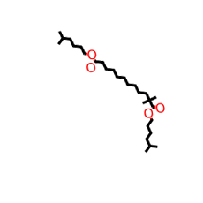 CC(C)CCCCOC(=O)CCCCCCCCCC(C)(C)C(=O)OCCCCC(C)C